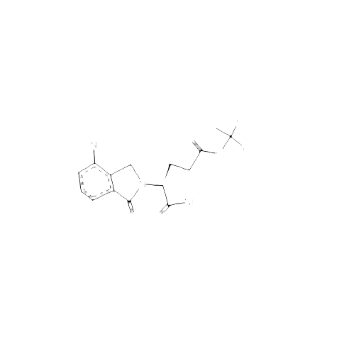 CC(C)(C)OC(=O)CC[C@@H](C(N)=O)N1Cc2c(N)cccc2C1=O